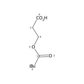 CCC(C)C(=O)OCCC(=O)O